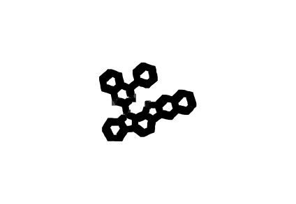 c1ccc(-c2nc(-n3c4ccccc4c4ccc5c6cc7ccccc7cc6sc5c43)nc3ccccc23)cc1